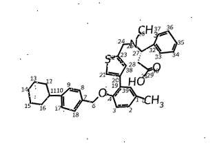 Cc1ccc(OCc2ccc(C3CCCCC3)cc2)c(-c2csc(CN(C)[C@@H](CC(=O)O)c3ccccc3)c2)c1